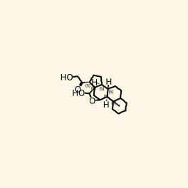 C[C@]12CCCCC1CC[C@H]1[C@@H]3CC[C@H](C(=O)CO)[C@@]34CC(OC4O)[C@@H]12